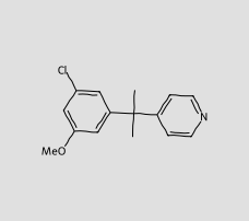 COc1cc(Cl)cc(C(C)(C)c2ccncc2)c1